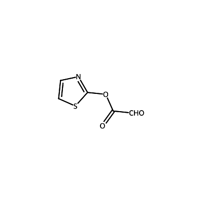 O=CC(=O)Oc1nccs1